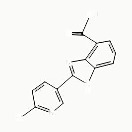 O=C(O)c1cccc2[nH]c(-c3ccc(Cl)nc3)nc12